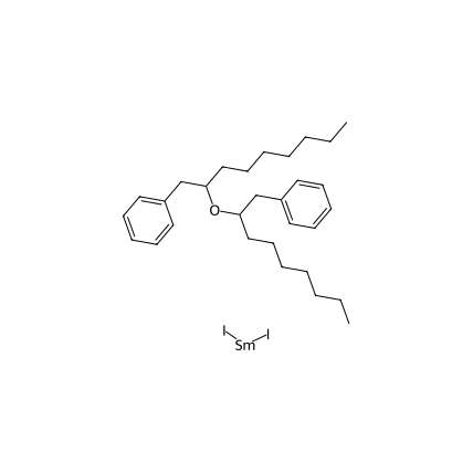 CCCCCCCC(Cc1ccccc1)OC(CCCCCCC)Cc1ccccc1.[I][Sm][I]